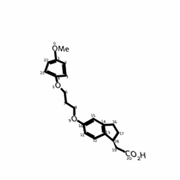 COc1ccc(OCCCOc2ccc3c(c2)CC[C@H]3CC(=O)O)cc1